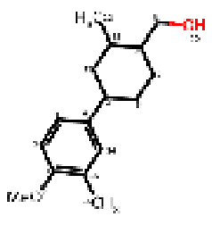 COc1ccc(C2CCC(CO)C(C)C2)cc1C